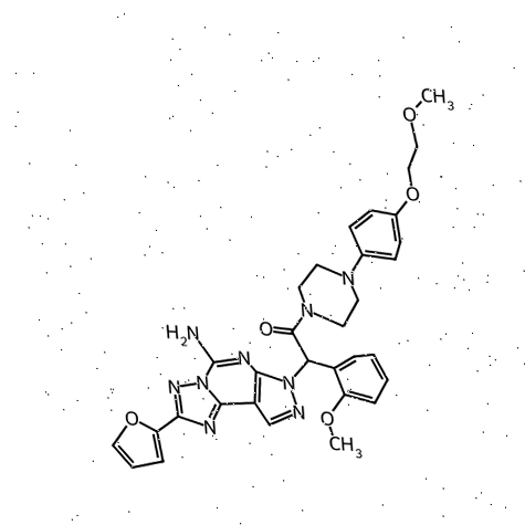 COCCOc1ccc(N2CCN(C(=O)C(c3ccccc3OC)n3ncc4c3nc(N)n3nc(-c5ccco5)nc43)CC2)cc1